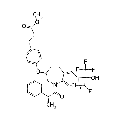 C/C=C1\C(=C/C2=C=C(F)C2(O)C(F)(F)F)CC[C@H](Oc2ccc(CCC(=O)OC)cc2)CN1C(=O)[C@@H](C)c1ccccc1